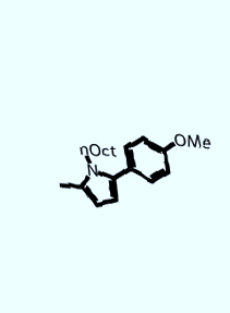 CCCCCCCCn1c(C)ccc1-c1ccc(OC)cc1